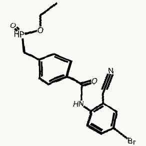 CCO[PH](=O)Cc1ccc(C(=O)Nc2ccc(Br)cc2C#N)cc1